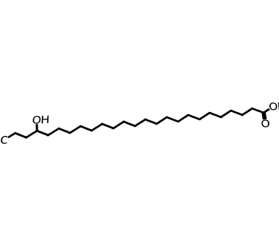 CCCC(O)CCCCCCCCCCCCCCCCCCCCC(=O)O